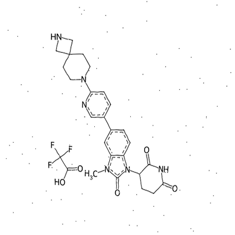 Cn1c(=O)n(C2CCC(=O)NC2=O)c2ccc(-c3ccc(N4CCC5(CC4)CNC5)nc3)cc21.O=C(O)C(F)(F)F